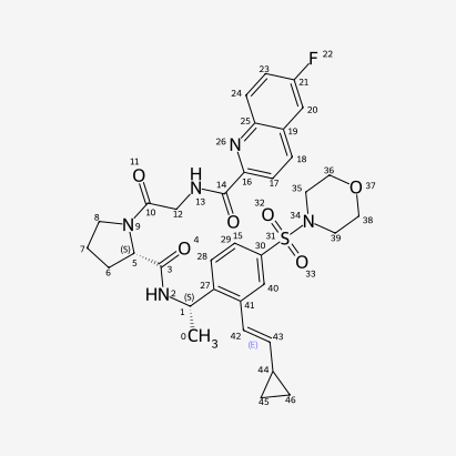 C[C@H](NC(=O)[C@@H]1CCCN1C(=O)CNC(=O)c1ccc2cc(F)ccc2n1)c1ccc(S(=O)(=O)N2CCOCC2)cc1/C=C/C1CC1